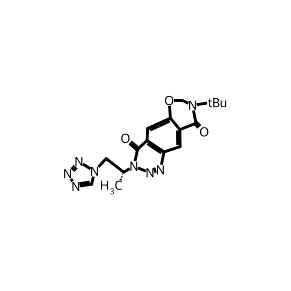 C[C@H](Cn1cnnn1)n1nnc2cc3c(cc2c1=O)OCN(C(C)(C)C)C3=O